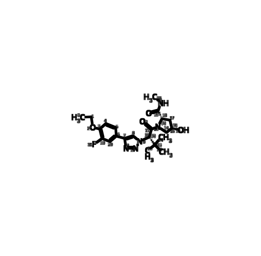 CCOc1ccc(-c2cn([C@H](C(=O)N3C[C@H](O)C[C@H]3C(=O)NC)C(C)(C)C)nn2)cc1F